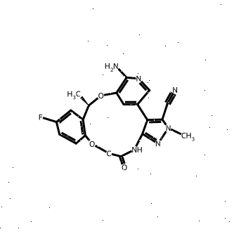 C[C@H]1Oc2cc(cnc2N)-c2c(nn(C)c2C#N)NC(=O)COc2ccc(F)cc21